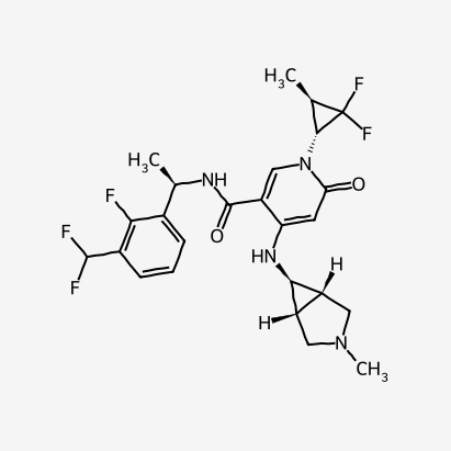 C[C@@H]1[C@@H](n2cc(C(=O)N[C@H](C)c3cccc(C(F)F)c3F)c(N[C@H]3[C@@H]4CN(C)C[C@@H]43)cc2=O)C1(F)F